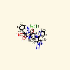 CCCCN1C(=O)[C@@H]([C@H](O)C2CCCCC2)NC(=O)C12CCN(C(c1ccccn1)c1c(C)n[nH]c1C)CC2.Cl